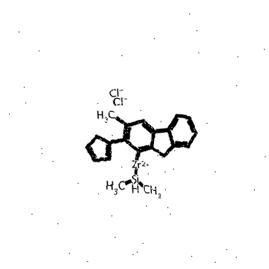 Cc1cc2c([c]([Zr+2][SiH](C)C)c1C1=CC=CC1)Cc1ccccc1-2.[Cl-].[Cl-]